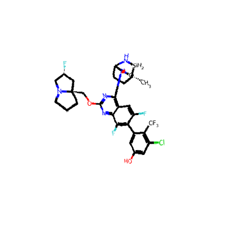 C[C@]12CCC(CN(c3nc(OC[C@@]45CCCN4C[C@H](F)C5)nc4c(F)c(-c5cc(O)cc(Cl)c5C(F)(F)F)c(F)cc34)C1)N[SiH2]2